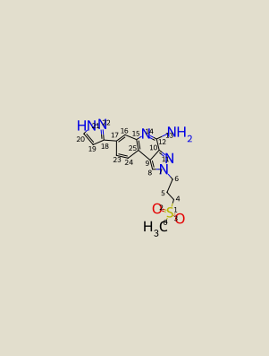 CS(=O)(=O)CCCn1cc2c(n1)c(N)nc1cc(-c3cc[nH]n3)ccc12